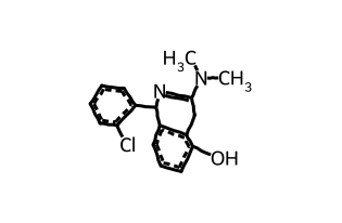 CN(C)C1=NC(c2ccccc2Cl)c2cccc(O)c2C1